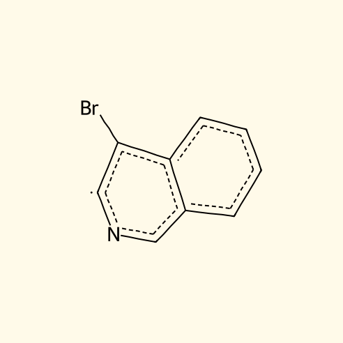 Brc1[c]ncc2ccccc12